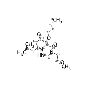 CCCCOc1c2n(c(CN(C)C)cc1=O)NCN(CCOC)C2=O